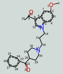 COc1ccc2c(c1)c(C(C)=O)cn2CCCN1CCC(C(=O)c2ccccc2)CC1